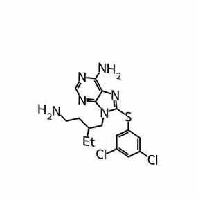 CCC(CCN)Cn1c(Sc2cc(Cl)cc(Cl)c2)nc2c(N)ncnc21